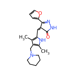 Cc1[nH]c(C=C2C(=O)NN=C2c2ccco2)c(C)c1CN1CCCCC1